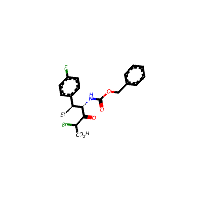 CC[C@@H](c1ccc(F)cc1)[C@H](NC(=O)OCc1ccccc1)C(=O)C(Br)C(=O)O